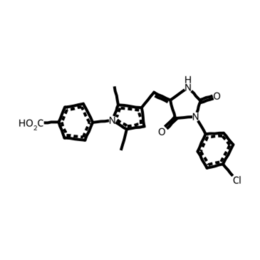 Cc1cc(/C=C2/NC(=O)N(c3ccc(Cl)cc3)C2=O)c(C)n1-c1ccc(C(=O)O)cc1